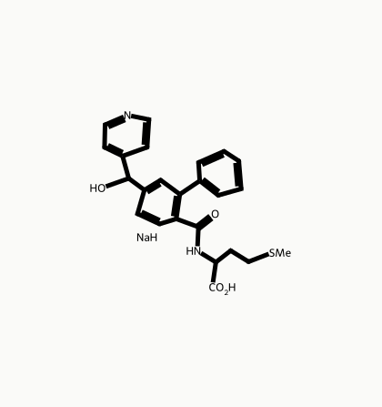 CSCCC(NC(=O)c1ccc(C(O)c2ccncc2)cc1-c1ccccc1)C(=O)O.[NaH]